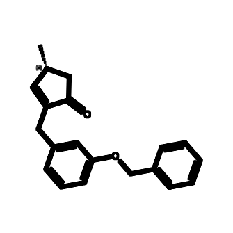 C[C@H]1C=C(Cc2cccc(OCc3ccccc3)c2)C(=O)C1